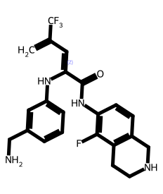 C=C(/C=C(\Nc1cccc(CN)c1)C(=O)Nc1ccc2c(c1F)CCNC2)C(F)(F)F